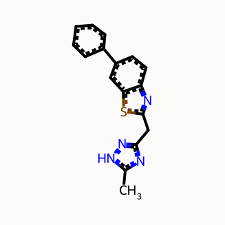 Cc1nc(Cc2nc3ccc(-c4ccccc4)cc3s2)n[nH]1